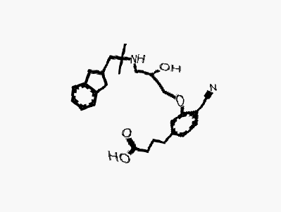 CC(C)(CC1Cc2ccccc2C1)NC[C@@H](O)COc1cc(CCCC(=O)O)ccc1C#N